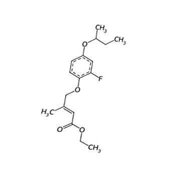 CCOC(=O)C=C(C)COc1ccc(OC(C)CC)cc1F